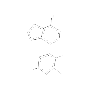 Nc1nnc(-c2cc(F)cc(F)c2F)c2sccc12